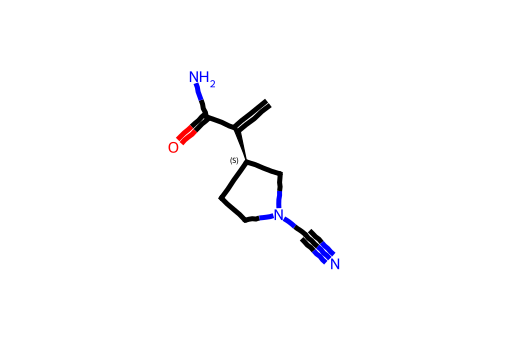 C=C(C(N)=O)[C@@H]1CCN(C#N)C1